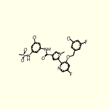 Cn1cc(C(=O)Nc2cc(Cl)cc(NS(C)(=O)=O)c2)cc1-c1ncc(F)cc1OCc1cc(F)cc(Cl)c1